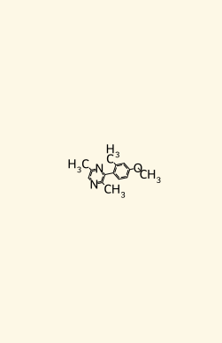 COc1ccc(-c2nc(C)cnc2C)c(C)c1